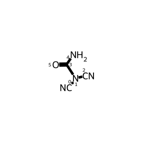 N#CN(C#N)C(N)=O